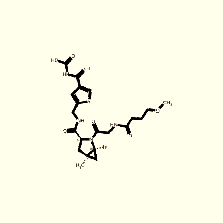 COCCCC(=O)NCC(=O)N1[C@H]2C[C@@]2(C)C[C@H]1C(=O)NCc1cc(C(=N)NC(=O)O)cs1